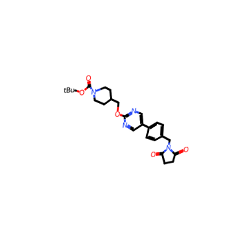 CC(C)(C)OC(=O)N1CCC(COc2ncc(-c3ccc(CN4C(=O)CCC4=O)cc3)cn2)CC1